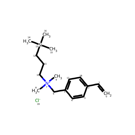 C=Cc1ccc(C[N+](C)(C)CCC[Si](C)(C)C)cc1.[Cl-]